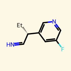 CC[C@@H](C=N)c1cncc(F)c1